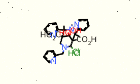 CN1C(C)(c2ccccn2)C2(C(=O)O)CN(Cc3ccccn3)C(Cl)C(C(=O)O)(C1(C)c1ccccn1)C2(O)O.Cl